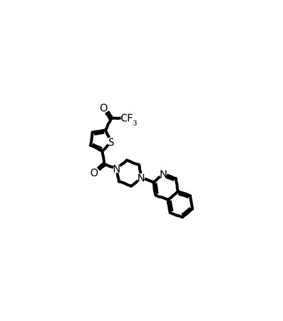 O=C(c1ccc(C(=O)C(F)(F)F)s1)N1CCN(c2cc3ccccc3cn2)CC1